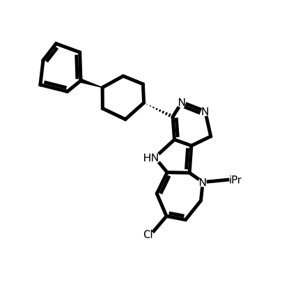 CC(C)N1CC=C(Cl)C=c2[nH]c3c(c21)CN=NC=3[C@H]1CC[C@H](c2ccccc2)CC1